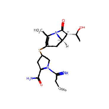 COCC(=N)N1CC(SC2=C(C(=O)O)N3C(=O)[C@H](C(C)O)[C@H]3C2)CC1C(N)=O